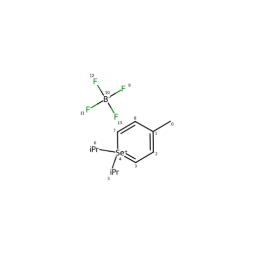 CC1=CC=[Se+](C(C)C)(C(C)C)C=C1.F[B-](F)(F)F